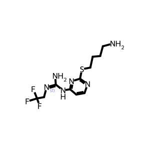 NCCCCSc1nccc(N/C(N)=N\CC(F)(F)F)n1